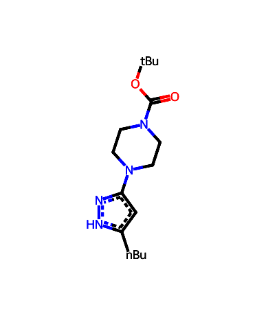 CCCCc1cc(N2CCN(C(=O)OC(C)(C)C)CC2)n[nH]1